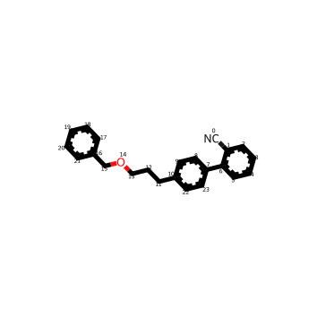 N#Cc1ccccc1-c1ccc(CCCOCc2ccccc2)cc1